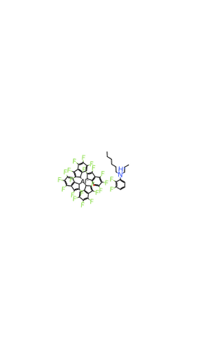 CCCCCC[NH+](CCC)c1cccc(F)c1F.FC1=C(F)[CH]([Al-]([CH]2C(F)=C(F)c3c2cc(F)c(F)c3F)([CH]2C(F)=C(F)c3c2cc(F)c(F)c3F)[CH]2C(F)=C(F)c3c2cc(F)c(F)c3F)c2cc(F)c(F)c(F)c21